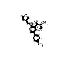 Cn1cnc2c(-c3ccc(C(F)(F)F)cc3)cnc(NCC3CCOC3)c2c1=O